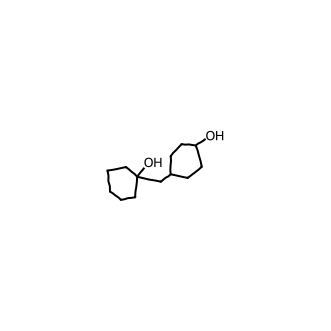 OC1CCC(CC2(O)CCCCC2)CC1